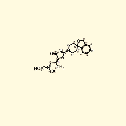 C/C(CN(C(=O)O)C(C)(C)C)=C1\SC(N2CCC3(CC2)OCc2ccccc23)=NC1=O